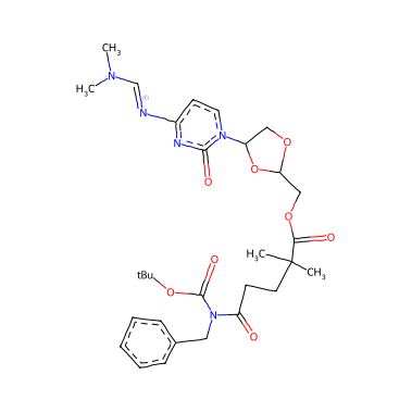 CN(C)/C=N/c1ccn(C2COC(COC(=O)C(C)(C)CCC(=O)N(Cc3ccccc3)C(=O)OC(C)(C)C)O2)c(=O)n1